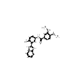 COc1ccc(C(=O)Nc2ccc(Cl)c(-c3nc4ccccc4s3)c2)cc1OC